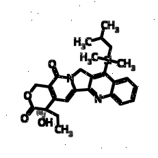 CC[C@@]1(O)C(=O)OCc2c1cc1n(c2=O)Cc2c-1nc1ccccc1c2[Si](C)(C)CC(C)C